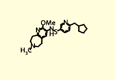 COc1nc2c(cc1NSc1ccc(CC3CCCC3)nc1)CCN(C)CC2